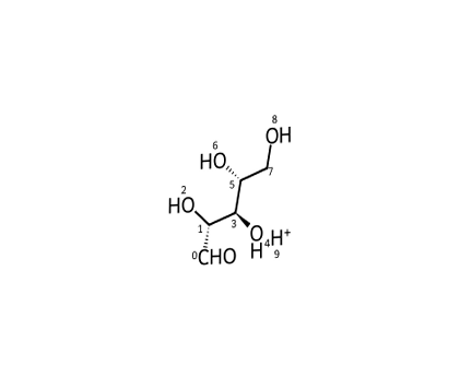 O=C[C@H](O)[C@H](O)[C@H](O)CO.[H+]